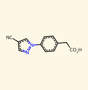 N#Cc1cnn(-c2ccc(CC(=O)O)cc2)c1